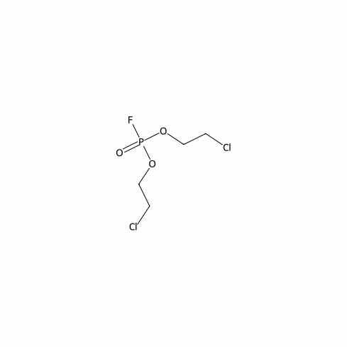 O=P(F)(OCCCl)OCCCl